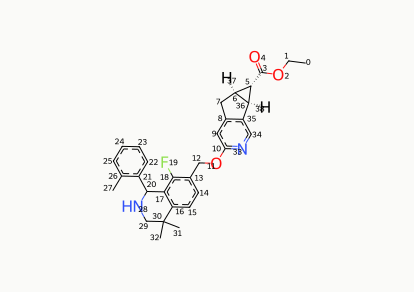 CCOC(=O)[C@H]1[C@@H]2Cc3cc(OCc4ccc5c(c4F)C(c4ccccc4C)NCC5(C)C)ncc3[C@@H]21